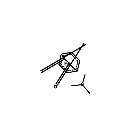 C=C1Cc2ccc(cc2)NC1=O.CN(C)C